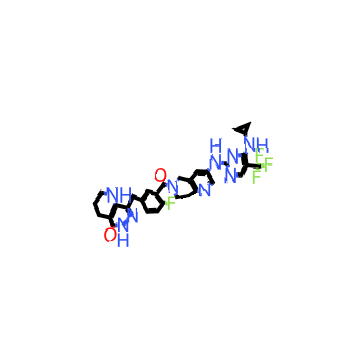 O=C(c1cc(Cc2n[nH]c(=O)c3c2NCCC3)ccc1F)N1CCc2ncc(Nc3ncc(C(F)(F)F)c(NC4CC4)n3)cc2C1